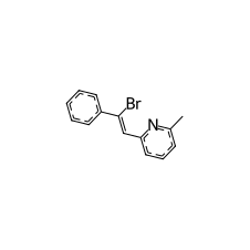 Cc1cccc(C=C(Br)c2ccccc2)n1